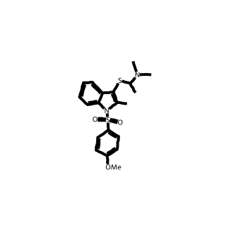 COc1ccc(S(=O)(=O)n2c(C)c(SC(C)N(C)C)c3ccccc32)cc1